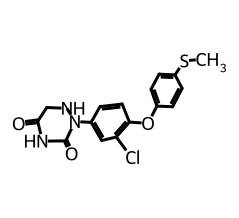 CSc1ccc(Oc2ccc(N3NCC(=O)NC3=O)cc2Cl)cc1